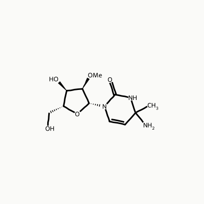 CO[C@@H]1[C@H](O)[C@@H](CO)O[C@H]1N1C=CC(C)(N)NC1=O